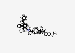 CC(NC(=O)C1CCN(C(=O)/C=C/c2ccc(OC3CCCC3)c(Cl)c2Cl)CC1)C(=O)O